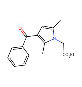 CCOC(=O)Cn1c(C)cc(C(=O)c2ccccc2)c1C